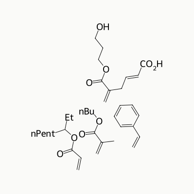 C=C(C)C(=O)OCCCC.C=C(CC=CC(=O)O)C(=O)OCCCO.C=CC(=O)OC(CC)CCCCC.C=Cc1ccccc1